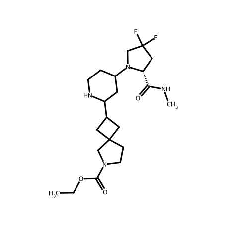 CCOC(=O)N1CCC2(CC(C3CC(N4CC(F)(F)C[C@@H]4C(=O)NC)CCN3)C2)C1